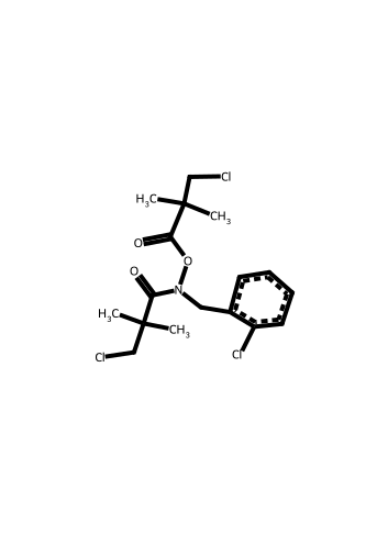 CC(C)(CCl)C(=O)ON(Cc1ccccc1Cl)C(=O)C(C)(C)CCl